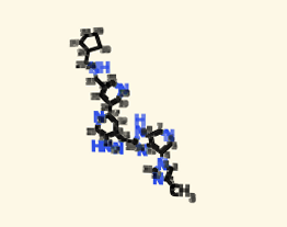 Cc1cn(-c2cncc3[nH]c(-c4n[nH]c5cnc(-c6cncc(CNCC7CCCC7)c6)cc45)nc23)cn1